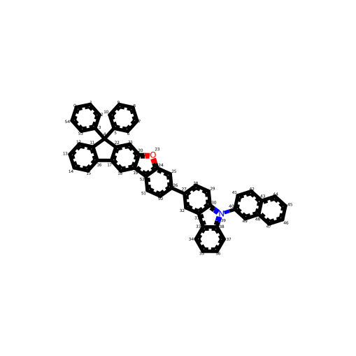 c1ccc(C2(c3ccccc3)c3ccccc3-c3cc4c(cc32)oc2cc(-c3ccc5c(c3)c3ccccc3n5-c3ccc5ccccc5c3)ccc24)cc1